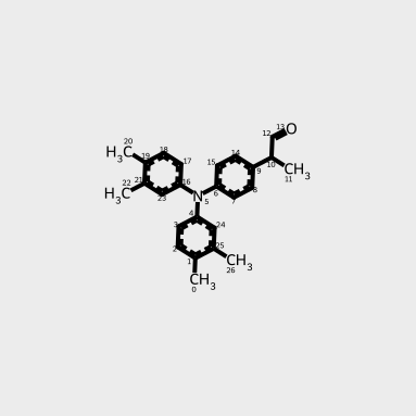 Cc1ccc(N(c2ccc(C(C)C=O)cc2)c2ccc(C)c(C)c2)cc1C